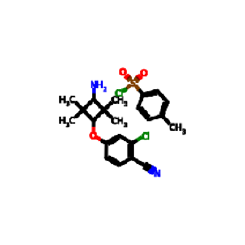 CC1(C)C(N)C(C)(C)C1Oc1ccc(C#N)c(Cl)c1.Cc1ccc(S(=O)(=O)Cl)cc1